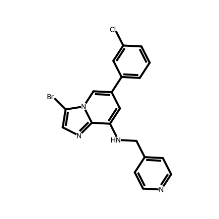 Clc1cccc(-c2cc(NCc3ccncc3)c3ncc(Br)n3c2)c1